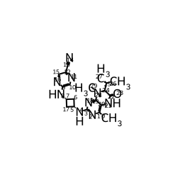 Cc1nc(N[C@H]2C[C@@H](Nc3cnc(C#N)cn3)C2)nc2c1NC(=O)C(C(C)C)N2C